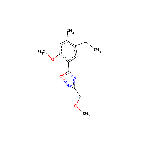 CCc1cc(-c2nc(COC)no2)c(OC)cc1C